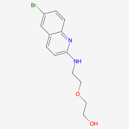 OCCOCCNc1ccc2cc(Br)ccc2n1